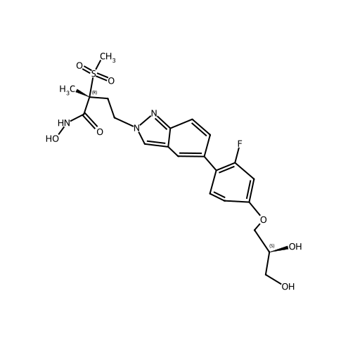 C[C@@](CCn1cc2cc(-c3ccc(OC[C@@H](O)CO)cc3F)ccc2n1)(C(=O)NO)S(C)(=O)=O